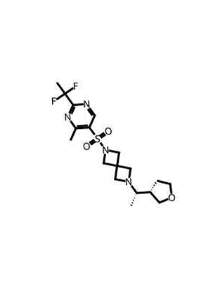 Cc1nc(C(C)(F)F)ncc1S(=O)(=O)N1CC2(CN([C@@H](C)[C@@H]3CCOC3)C2)C1